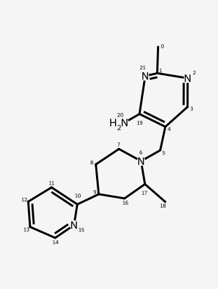 Cc1ncc(CN2CCC(c3ccccn3)CC2C)c(N)n1